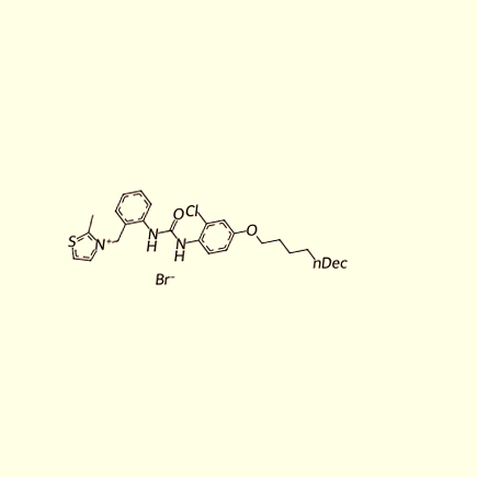 CCCCCCCCCCCCCCOc1ccc(NC(=O)Nc2ccccc2C[n+]2ccsc2C)c(Cl)c1.[Br-]